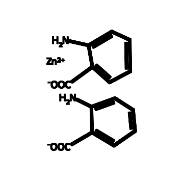 Nc1ccccc1C(=O)[O-].Nc1ccccc1C(=O)[O-].[Zn+2]